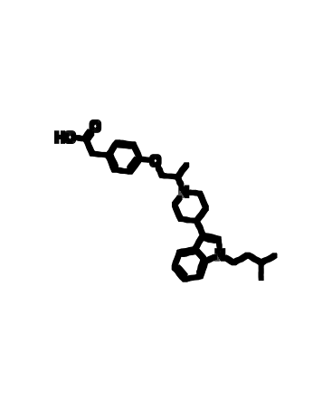 CC(C)CCn1cc(C2CCN(C(C)COc3ccc(CC(=O)O)cc3)CC2)c2ccccc21